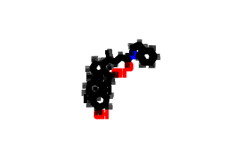 C[C@H](CCC(=O)n1ccc2ccccc21)[C@H]1CC[C@H]2[C@@H]3CC[C@@H]4C[C@H](O)CC[C@]4(C)[C@H]3C[C@H](O)[C@]12C